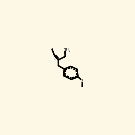 C/C=C(\CN)Cc1ccc(SC)cc1